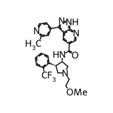 COCCN1C[C@H](NC(=O)c2cnc3[nH]nc(-c4ccnc(C)c4)c3c2)[C@H](c2ccccc2C(F)(F)F)C1